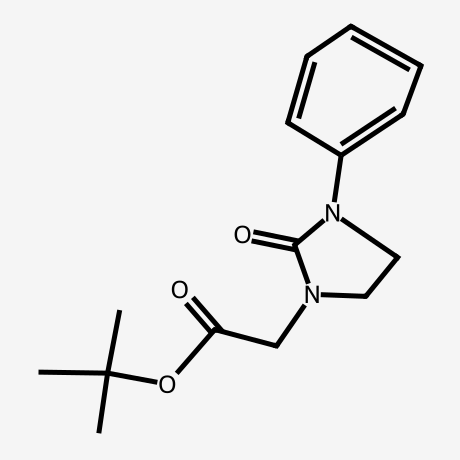 CC(C)(C)OC(=O)CN1CCN(c2ccccc2)C1=O